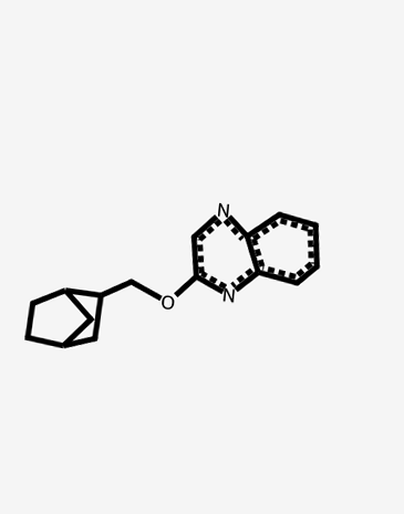 c1ccc2nc(OCC3CC4CCC3C4)cnc2c1